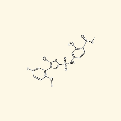 COC(=O)c1ccc(NS(=O)(=O)c2cc(-c3cc(F)ccc3OC)c(Cl)s2)cc1O